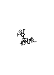 CCc1ncc2n1CCN(C(=O)OC(C)(C)C)C2CCc1cc(F)c(OC)c(F)c1